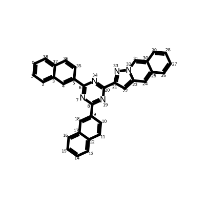 c1ccc2cc(-c3nc(-c4ccc5ccccc5c4)nc(-c4cc5cc6ccccc6cn5n4)n3)ccc2c1